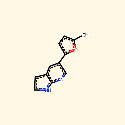 Cc1ccc(-c2cnc3[nH]ccc3c2)o1